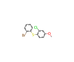 COc1ccc(Sc2ccccc2Br)c(Cl)c1